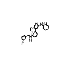 Fc1cccc(CNc2cccc(-c3cc(NC4CCCCC4)ncc3F)n2)c1